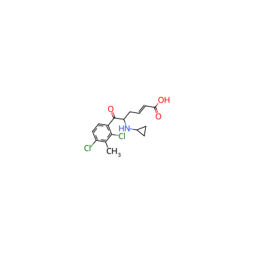 Cc1c(Cl)ccc(C(=O)C(CC=CC(=O)O)NC2CC2)c1Cl